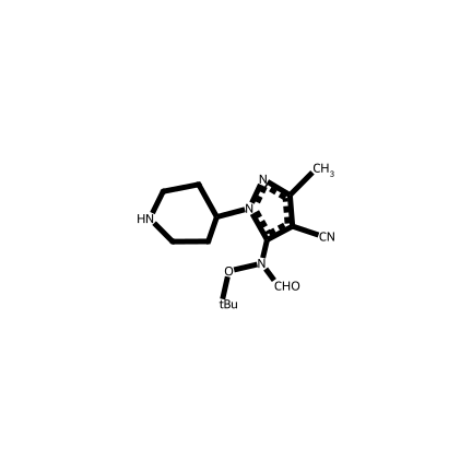 Cc1nn(C2CCNCC2)c(N(C=O)OC(C)(C)C)c1C#N